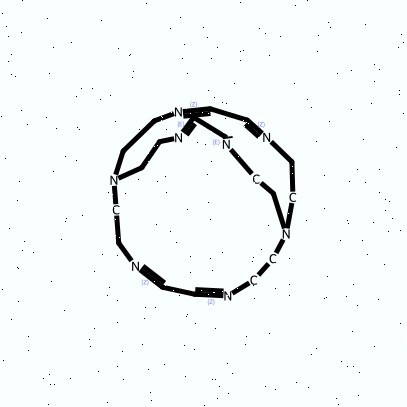 C1=N\CCN2CC/N=C\C=N/CCN(CC\N=C/1)CC/N=C/C=N/CC2